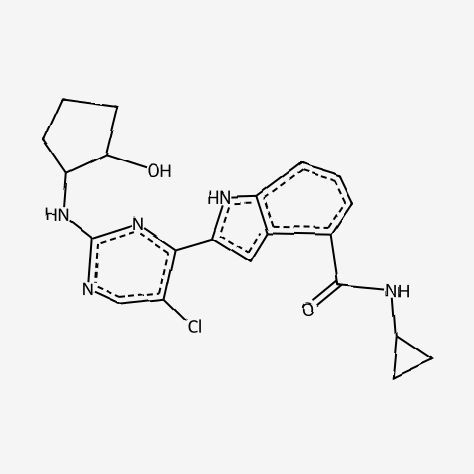 O=C(NC1CC1)c1cccc2[nH]c(-c3nc(NC4CCCC4O)ncc3Cl)cc12